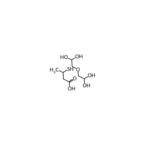 CC(S)CC(=O)O.OC(O)COCC(O)O